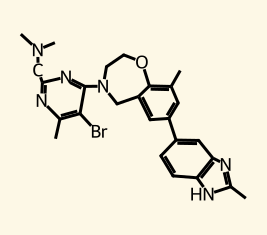 Cc1nc2cc(-c3cc(C)c4c(c3)CN(c3nc(CN(C)C)nc(C)c3Br)CCO4)ccc2[nH]1